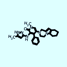 Cc1cc(Nc2c(-c3ccccc3)c(N3CCn4c(cc5c4CCCC5)C3)cn(C)c2=O)n[nH]1